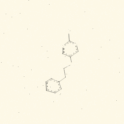 Clc1ncc(OCCc2ccccc2)cn1